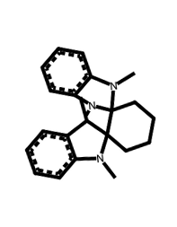 CC1c2ccccc2N(C)C12CCCCC21N(C)c2ccccc2N1C